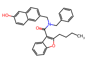 CCCCc1oc2ccccc2c1C(=O)N(Cc1ccccc1)Cc1ccc2cc(O)ccc2c1